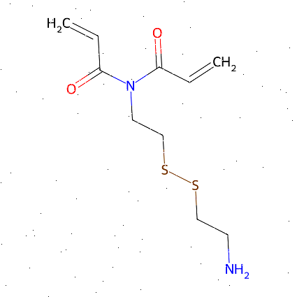 C=CC(=O)N(CCSSCCN)C(=O)C=C